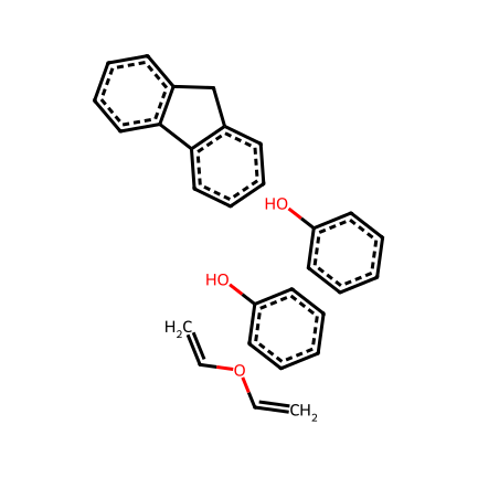 C=COC=C.Oc1ccccc1.Oc1ccccc1.c1ccc2c(c1)Cc1ccccc1-2